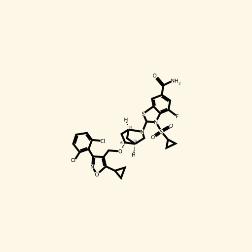 NC(=O)c1cc(F)c2c(c1)SC(N1C[C@@H]3C[C@H]1C[C@H]3OCc1c(-c3c(Cl)cccc3Cl)noc1C1CC1)N2S(=O)(=O)C1CC1